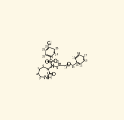 O=C1NCCCC[C@H]1N(CCCOCc1ccccc1)S(=O)(=O)c1ccc(Cl)cc1